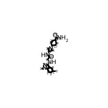 Cc1ccc2c(c1)c(NCC(=O)NC1CN(C3CCC(C(N)=O)CC3)C1)nn2C